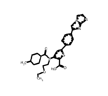 CCOCCN(C(=O)C1CCC(C)CC1)c1cc(-c2ccc(-c3cn4ccsc4n3)cc2)sc1C(=O)O